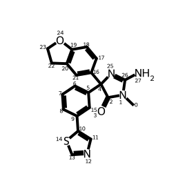 CN1C(=O)C(c2cccc(-c3cncs3)c2)(c2ccc3c(c2)CCO3)N=C1N